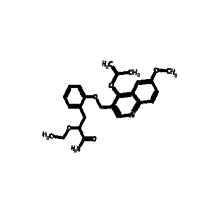 CCOC(Cc1ccccc1OCc1cnc2ccc(OC)cc2c1OC(C)C)C(N)=O